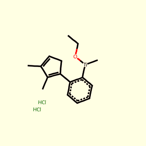 CC[O][Ti]([CH3])[c]1ccccc1C1=C(C)C(C)=CC1.Cl.Cl